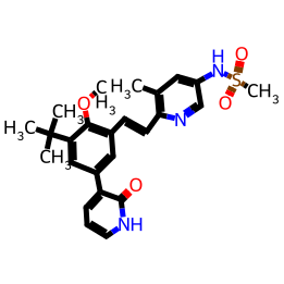 COc1c(C=Cc2ncc(NS(C)(=O)=O)cc2C)cc(-c2ccc[nH]c2=O)cc1C(C)(C)C